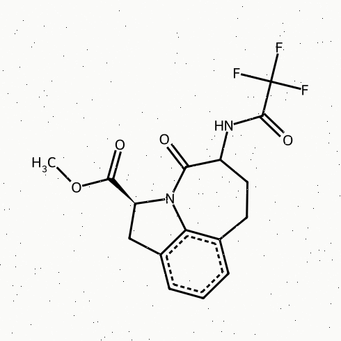 COC(=O)[C@@H]1Cc2cccc3c2N1C(=O)C(NC(=O)C(F)(F)F)CC3